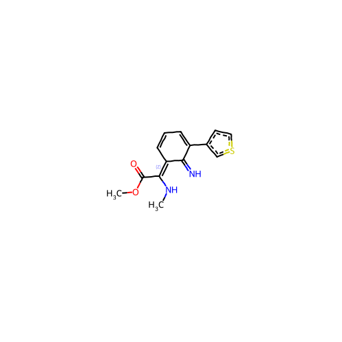 CN/C(C(=O)OC)=C1/C=CC=C(c2ccsc2)C1=N